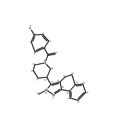 C=C(c1ccc(F)cc1)N1CCCC(c2c3c(nn2C)-c2ccccc2CC3)C1